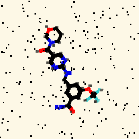 NC(=O)c1cc(CNc2ncc(C(=O)N3CCCOC3)cn2)cc(OC(F)(F)F)c1